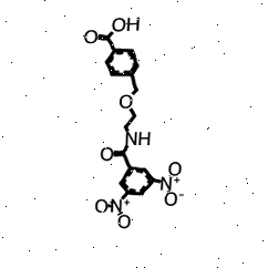 O=C(O)c1ccc(COCCNC(=O)c2cc([N+](=O)[O-])cc([N+](=O)[O-])c2)cc1